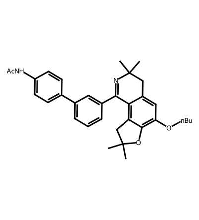 CCCCOc1cc2c(c3c1OC(C)(C)C3)C(c1cccc(-c3ccc(NC(C)=O)cc3)c1)=NC(C)(C)C2